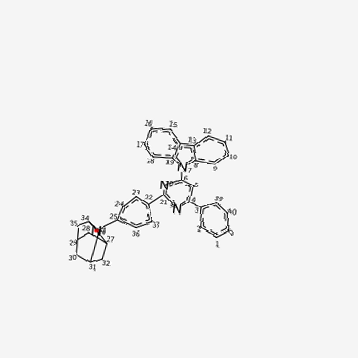 c1ccc(-c2cc(-n3c4ccccc4c4ccccc43)nc(-c3ccc(N4C5CC6CC(C5)CC4C6)cc3)n2)cc1